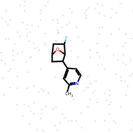 Cc1cc(C2CC3CC(F)C2O3)ccn1